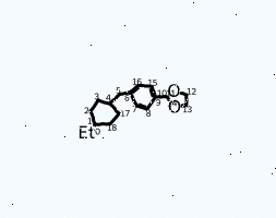 CCC1CCC(Cc2ccc(C3OCCO3)cc2)CC1